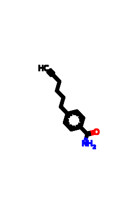 C#CCCCCc1ccc(C(N)=O)cc1